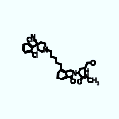 CNC(=O)C(CCC=O)N1Cc2c(CCCCCN3CCC(C#N)(c4c(Cl)cccc4Cl)CC3)cccc2C1=O